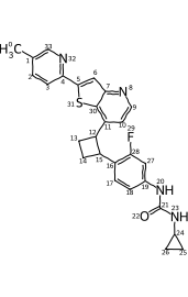 Cc1ccc(-c2cc3nccc(C4CCC4c4ccc(NC(=O)NC5CC5)cc4F)c3s2)nc1